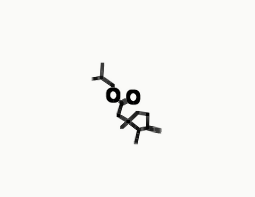 C=C1CCC(C)(CC(=O)OCC(C)C)C1C